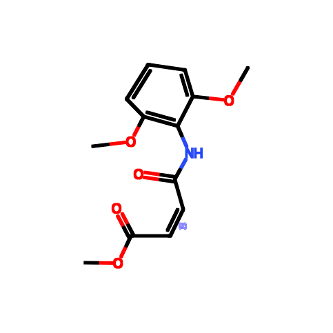 COC(=O)/C=C\C(=O)Nc1c(OC)cccc1OC